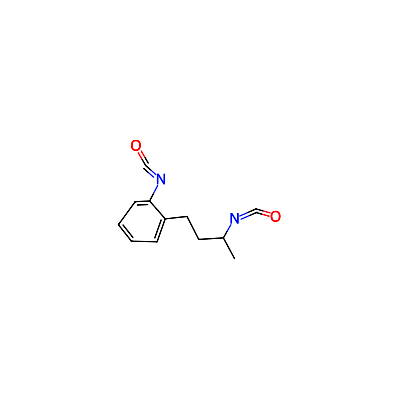 CC(CCc1ccccc1N=C=O)N=C=O